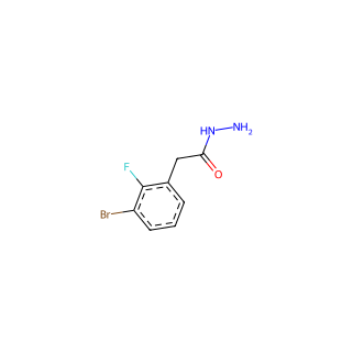 NNC(=O)Cc1cccc(Br)c1F